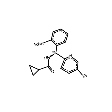 CC(=O)Nc1ccccc1[C@H](NC(=O)C1CC1)c1ccc(C(C)C)cn1